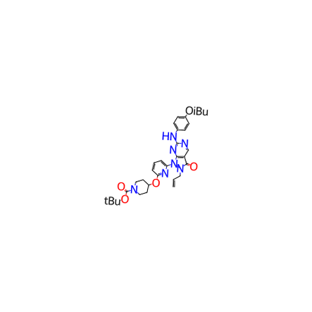 C=CCn1c(=O)c2cnc(Nc3ccc(OCC(C)C)cc3)nc2n1-c1cccc(OC2CCN(C(=O)OC(C)(C)C)CC2)n1